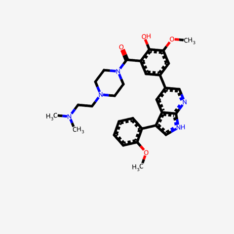 COc1ccccc1-c1c[nH]c2ncc(-c3cc(OC)c(O)c(C(=O)N4CCN(CCN(C)C)CC4)c3)cc12